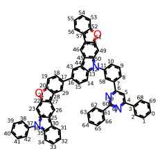 c1ccc(-c2cc(-c3cccc(-n4c5ccc(-c6ccc7oc8cc9c(cc8c7c6)c6ccccc6n9-c6ccccc6)cc5c5cc6c(cc54)oc4ccccc46)c3)nc(-c3ccccc3)n2)cc1